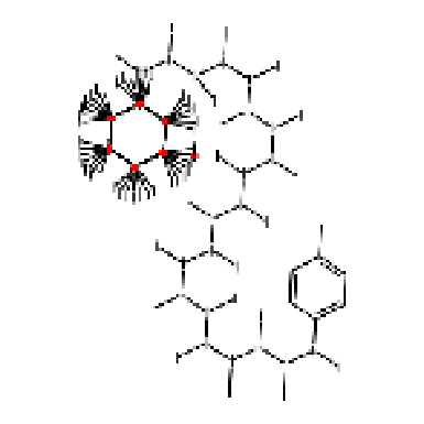 Cc1ccc(I(I)I(I)I(I)I(I)I(I)I(I)I(I)I(I)I(I)I(I)I(I)I(I)I(I)I(I)I(I)I(I)I(I)I(I)I(I)I(I)I(I)I(I)I(I)I(I)I(I)I(I)I(I)I(I)I(I)I(I)I(I)I(I)I(I)I(I)I(I)I(I)I(I)I(I)I(I)I(I)I(I)I(I)I(I)I(I)I(I)I(I)I(I)I(I)I(I)I(I)I(I)I(I)I(I)I(I)I(I)I(I)I(I)I(I)I(I)I(I)I(I)I)cc1